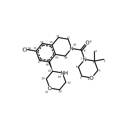 CC1(C)COCCN1C(=O)N1CCc2cc(Cl)cc([C@@H]3COCCN3)c2C1